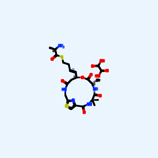 CC(C)[C@@H]1NC(=O)C(C)(C)NC(=O)c2csc(n2)CNC(=O)C[C@@H](/C=C/CCSC(=O)[C@@H](C)N)OC1=O.O=C(O)C(=O)O